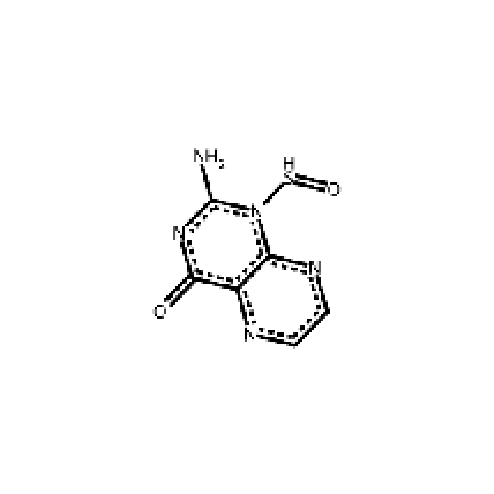 Nc1nc(=O)c2nccnc2n1[SH]=O